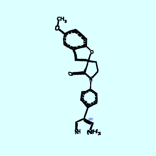 COc1ccc2c(c1)CC1(CCN(c3ccc(/C(C=N)=C/N)cc3)C1=O)O2